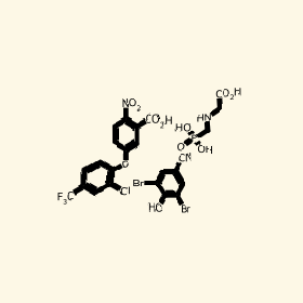 N#Cc1cc(Br)c(O)c(Br)c1.O=C(O)CNCP(=O)(O)O.O=C(O)c1cc(Oc2ccc(C(F)(F)F)cc2Cl)ccc1[N+](=O)[O-]